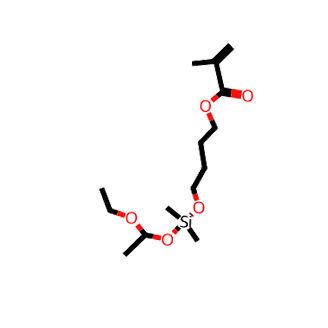 C=C(C)C(=O)OCCCCO[Si](C)(C)OC(C)OCC